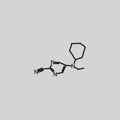 CCN(c1cnc(C#N)nc1)C1CCCCC1